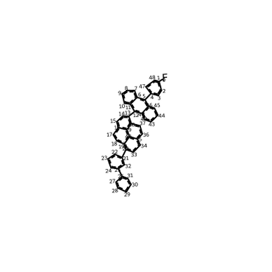 Fc1ccc(-c2c3ccccc3c(-c3ccc4ccc5c(-c6cccc(-c7ccccc7)c6)ccc6ccc3c4c65)c3ccccc23)cc1